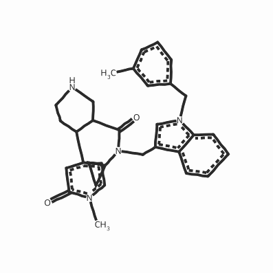 Cc1cccc(Cn2cc(CN(C(=O)C3CNCCC3c3ccn(C)c(=O)c3)C3CC3)c3ccccc32)c1